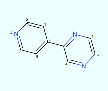 [c]1cc(-c2cnccn2)ccn1